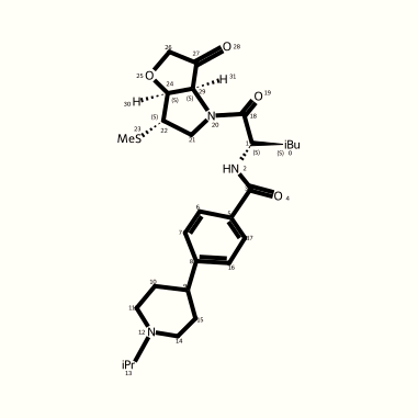 CC[C@H](C)[C@H](NC(=O)c1ccc(C2CCN(C(C)C)CC2)cc1)C(=O)N1C[C@H](SC)[C@H]2OCC(=O)[C@H]21